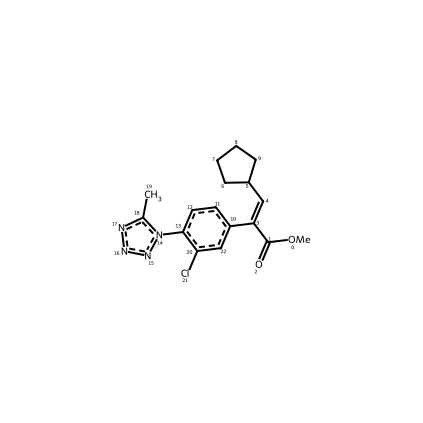 COC(=O)/C(=C/C1CCCC1)c1ccc(-n2nnnc2C)c(Cl)c1